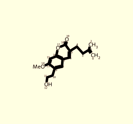 C=C(C)CCc1cc2cc(CCO)c(OC)cc2oc1=O